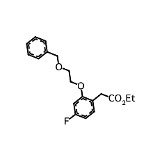 CCOC(=O)Cc1ccc(F)cc1OCCOCc1ccccc1